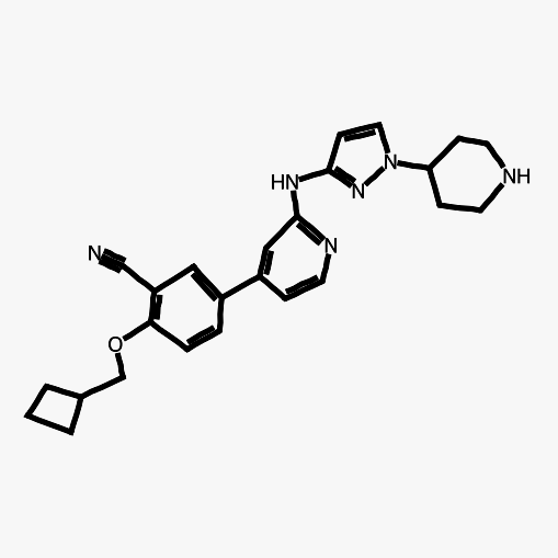 N#Cc1cc(-c2ccnc(Nc3ccn(C4CCNCC4)n3)c2)ccc1OCC1CCC1